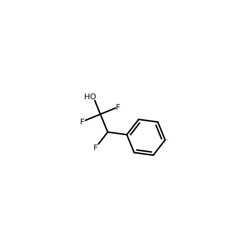 OC(F)(F)C(F)c1cc[c]cc1